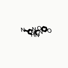 CNc1c(-c2nc3cc(OC)ccc3o2)nc2cc(C#N)ccn12